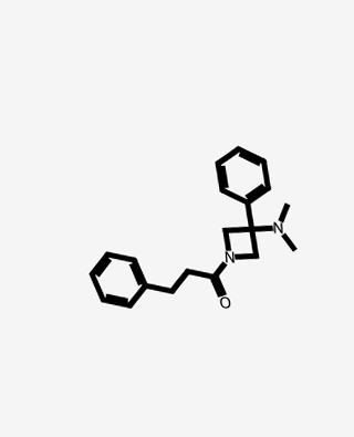 CN(C)C1(c2ccccc2)CN(C(=O)CCc2ccccc2)C1